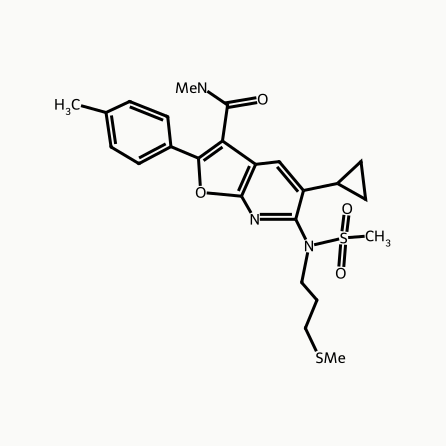 CNC(=O)c1c(-c2ccc(C)cc2)oc2nc(N(CCCSC)S(C)(=O)=O)c(C3CC3)cc12